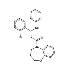 O=C(CC(Nc1ccccc1)c1ccccc1Br)N1CCCOc2ccccc21